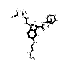 COCCNc1ccc2c(c1)c(C(=O)N[C@H]1CN3CCC1CC3)nn2CCOC.O=CO